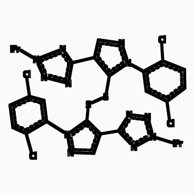 CC(C)n1nnc(-c2cnn(-c3cc(Cl)ccc3Cl)c2SSc2c(-c3nnn(C(C)C)n3)cnn2-c2cc(Cl)ccc2Cl)n1